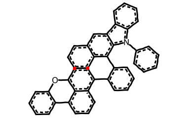 c1ccc(-n2c3ccccc3c3cc4ccccc4c(-c4ccccc4-c4ccc5c6c(cccc46)-c4ccccc4O5)c32)cc1